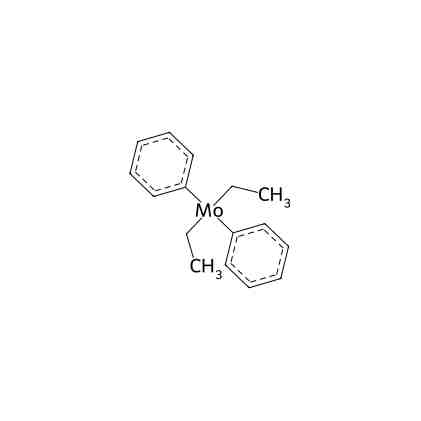 C[CH2][Mo]([CH2]C)([c]1ccccc1)[c]1ccccc1